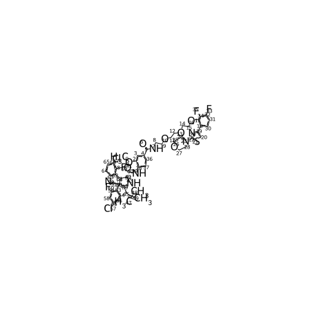 COc1cc(C(=O)NCCOCCOCCOc2c(-c3csc(N4CCOCC4)n3)ccc(F)c2F)ccc1NC(=O)[C@@H]1N[C@@H](CC(C)(C)C)[C@](C#N)(c2ccc(Cl)cc2F)[C@H]1c1cccc(Cl)c1F